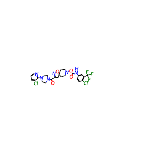 O=C(Nc1ccc(Cl)c(C(F)(F)F)c1)ON1CCC2(CC1)CC(C(=O)N1CCN(c3ncccc3Cl)CC1)=NO2